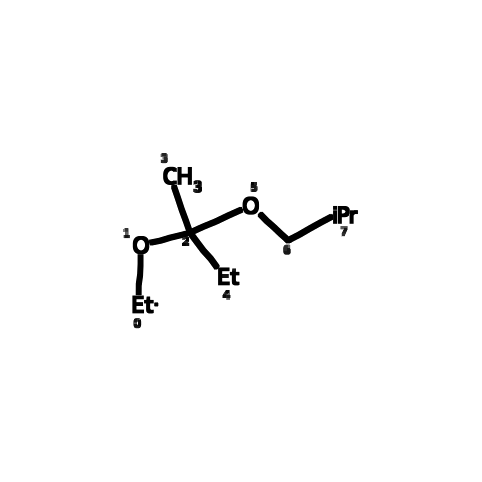 C[CH]OC(C)(CC)OCC(C)C